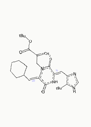 C=C(Cn1c(=O)/c(=C/c2nc[nH]c2C(C)(C)C)[nH]c(=O)/c1=C/C1CCCCC1)C(=O)OC(C)(C)C